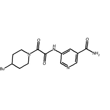 CCCCC1CCN(C(=O)C(=O)Nc2cncc(C(N)=O)c2)CC1